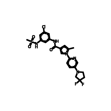 Cc1cc(C(=O)Nc2cc(Cl)cc(NS(C)(=O)=O)c2)cn1-c1ccc(N2CCC(F)(F)C2)cn1